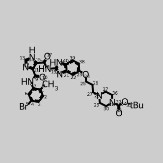 Cc1ccc(Br)cc1NC(=O)c1nc[nH]c1C(=O)Nc1nc2cc(OCCCN3CCN(C(=O)OC(C)(C)C)CC3)ccc2[nH]1